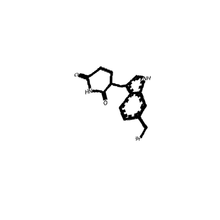 CC(C)Cc1ccc2c(C3CCC(=O)NC3=O)c[nH]c2c1